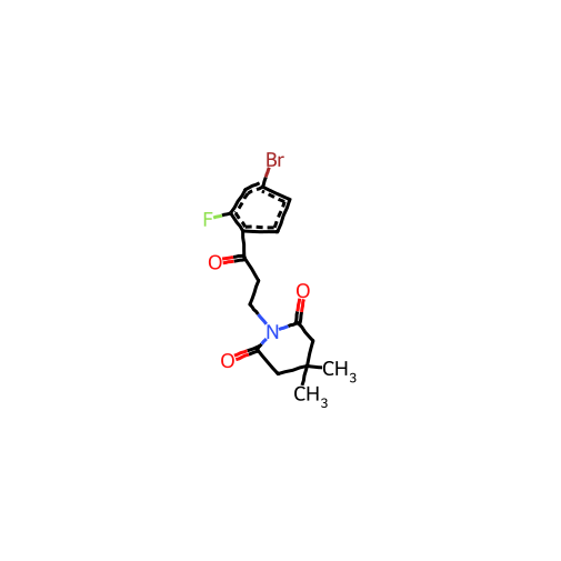 CC1(C)CC(=O)N(CCC(=O)c2ccc(Br)cc2F)C(=O)C1